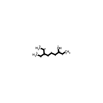 CCC(O)CCCC(CC)CC